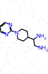 NCC(N)C1CCN(c2ncccn2)CC1